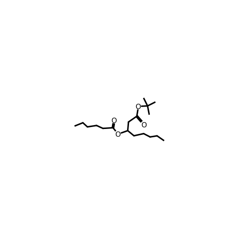 CCCCCC(=O)OC(CCCCC)CC(=O)OC(C)(C)C